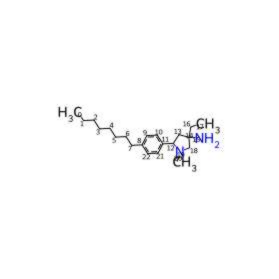 CCCCCCCCc1ccc(C2CC(N)(CC)CN2C)cc1